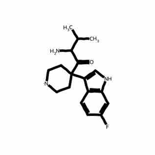 CC(C)C(N)C(=O)C1(c2c[nH]c3cc(F)ccc23)CC[N]CC1